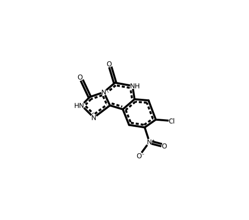 O=c1[nH]nc2c3cc([N+](=O)[O-])c(Cl)cc3[nH]c(=O)n12